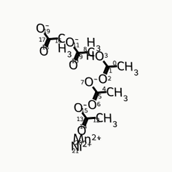 CC(=O)O.CC(=O)[O-].CC(=O)[O-].CC(=O)[O-].CC(=O)[O-].[Mn+2].[Ni+2]